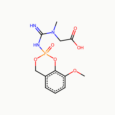 COc1cccc2c1OP(=O)(NC(=N)N(C)CC(=O)O)OC2